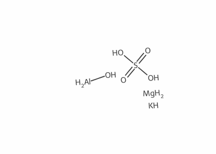 O=S(=O)(O)O.[KH].[MgH2].[OH][AlH2]